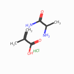 C=C(C)C(=O)O.CC(N)C(N)=O.Cl